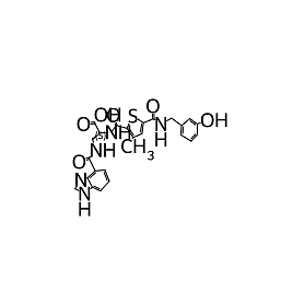 Cc1cc(C(=O)NCc2cccc(O)c2)sc1C(=O)N[C@@H](CNC(=O)c1cccc2[nH]cnc12)C(=O)O